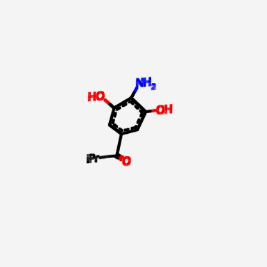 CC(C)C(=O)c1cc(O)c(N)c(O)c1